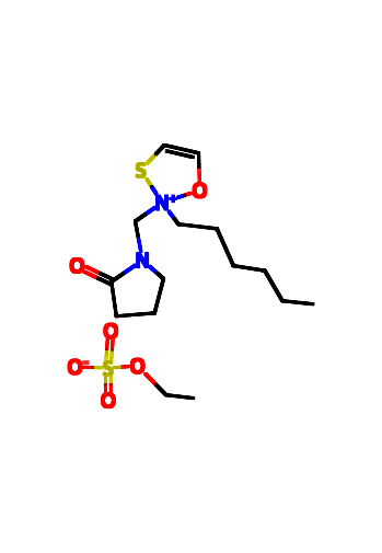 CCCCCC[N+]1(CN2CCCC2=O)OC=CS1.CCOS(=O)(=O)[O-]